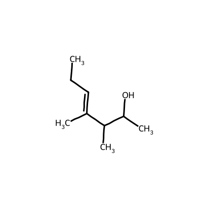 CC/C=C(\C)C(C)C(C)O